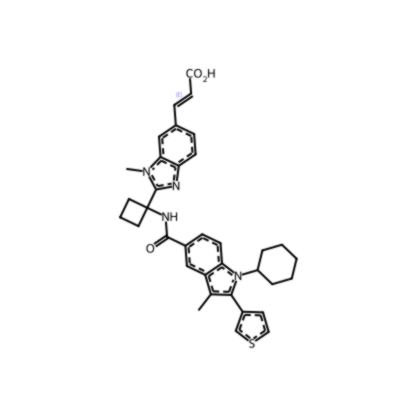 Cc1c(-c2ccsc2)n(C2CCCCC2)c2ccc(C(=O)NC3(c4nc5ccc(/C=C/C(=O)O)cc5n4C)CCC3)cc12